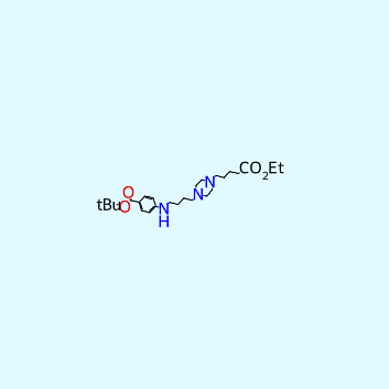 CCOC(=O)CCCCN1CCN(CCCCNc2ccc(C(=O)OC(C)(C)C)cc2)CC1